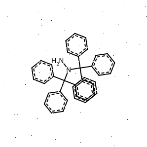 NN(C(c1ccccc1)(c1ccccc1)c1ccccc1)C(c1ccccc1)(c1ccccc1)c1ccccc1